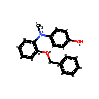 CN(c1ccc(O)cc1)c1ccccc1OCc1ccccc1